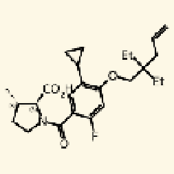 C=CCC(CC)(CC)COc1cc(F)c(C(=O)N2CC[C@H](C)[C@H]2C(=O)O)cc1C1CC1